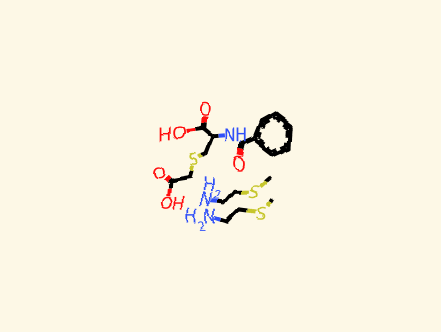 CSCCN.CSCCN.O=C(O)CSCC(NC(=O)c1ccccc1)C(=O)O